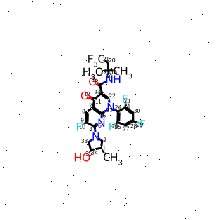 C[C@@H]1CN(c2nc3c(cc2F)c(=O)c(C(=O)NC(C)(C)CC(F)(F)F)cn3-c2c(F)cc(F)cc2F)C[C@H]1O